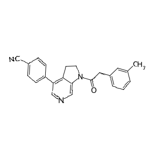 Cc1cccc(CC(=O)N2CCc3c(-c4ccc(C#N)cc4)cncc32)c1